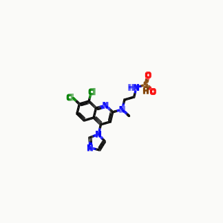 CN(CCN[SH](=O)=O)c1cc(-n2ccnc2)c2ccc(Cl)c(Cl)c2n1